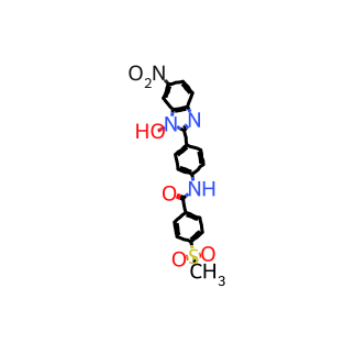 CS(=O)(=O)c1ccc(C(=O)Nc2ccc(-c3nc4ccc([N+](=O)[O-])cc4n3O)cc2)cc1